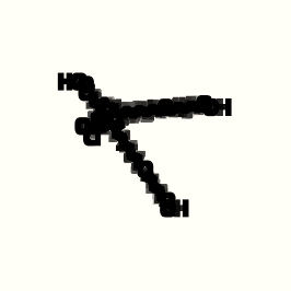 C=C(CCCCCCCOCCCCCOO)c1cc(C(=O)Cl)cc(C(=C)CCOOO)c1C(=C)CCCCCCCOCCCCCOO